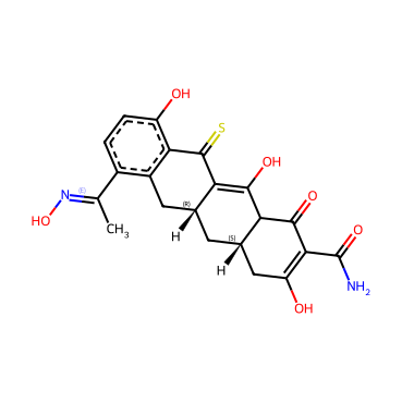 C/C(=N\O)c1ccc(O)c2c1C[C@H]1C[C@H]3CC(O)=C(C(N)=O)C(=O)C3C(O)=C1C2=S